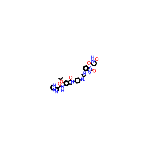 CC(C)Oc1cc2c(cc1NC(=O)c1cnn3cccnc13)CN(C1CCC(N(C)C3CN(c4cccc5c4n(C)c(=O)n5C4CCC(=O)NC4=O)C3)CC1)C2=O